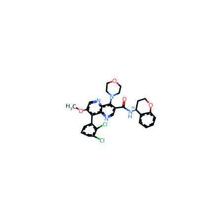 COc1cnc2c(N3CCOCC3)c(C(=O)N[C@H]3CCOc4ccccc43)cnc2c1-c1cccc(Cl)c1Cl